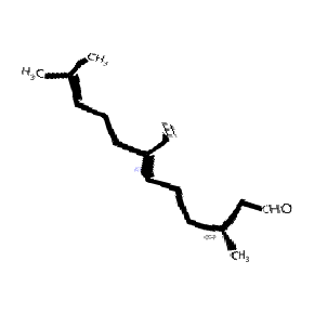 CC/C(=C\CC[C@H](C)CC=O)CCC=C(C)C